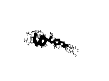 C=C(Cc1ccc(CC(C#N)c2ccc(CC(=C)C(C)(C)C)cc2)cc1)C(C)C